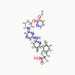 CCOc1cccnc1O[C@@H]1CCCN(c2cncc(Nc3ccc(F)c(-c4cc(CC(C)(C)C(=O)O)ccc4F)n3)n2)C1